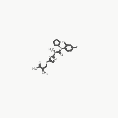 CC(CSc1cnc(N(C)C(=O)N(c2ccc(F)cc2Cl)C2CCCC2)s1)C(=O)O